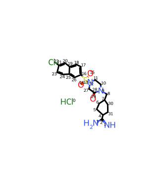 Cl.N=C(N)C1CCC(CN2CCN(S(=O)(=O)c3ccc4cc(Cl)ccc4c3)CC2=O)CC1